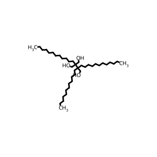 CCCCCCCCCCCCC(CO)(CO)C(CO)(CCCCCCCCCCCC)CCCCCCCCCCCC